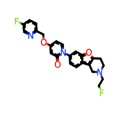 O=c1cc(OCc2ccc(F)cn2)ccn1-c1ccc2c3c(oc2c1)CCN(CCF)C3